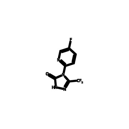 O=c1[nH]nc(C(F)(F)F)n1-c1ccc(F)cn1